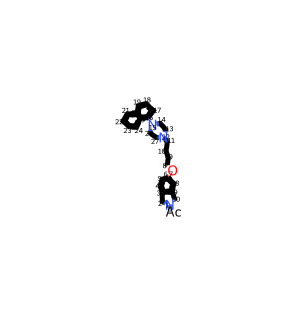 CC(=O)N1Cc2ccc(OCCCCN3CCN(c4cccc5ccccc45)CC3)cc2C1